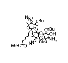 CCCCOC1[C@H](N=[N+]=[N-])C(C)O[C@H](O[C@@H]2C(OCCCC)[C@H](N=[N+]=[N-])C(C)O[C@@H]2OCCCCCC(=O)OC)[C@@H]1O[C@H]1OC(C)[C@@H](N)C(O)[C@H]1OCCCC